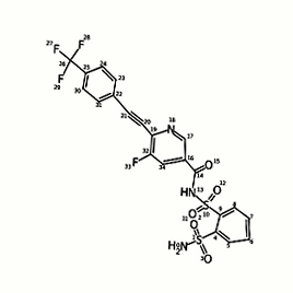 NS(=O)(=O)c1ccccc1S(=O)(=O)NC(=O)c1cnc(C#Cc2ccc(C(F)(F)F)cc2)c(F)c1